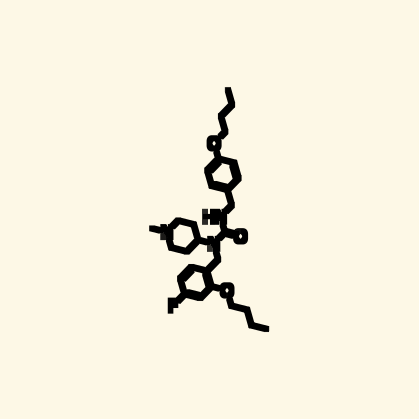 CCCCOc1ccc(CNC(=O)N(Cc2ccc(F)cc2OCCCC)C2CCN(C)CC2)cc1